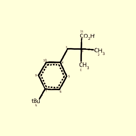 CC(C)(Cc1ccc(C(C)(C)C)cc1)C(=O)O